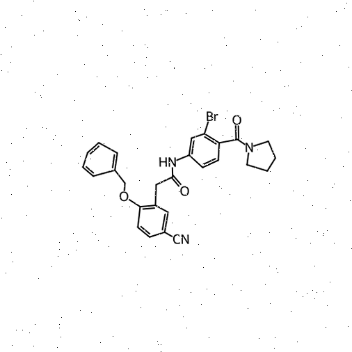 N#Cc1ccc(OCc2ccccc2)c(CC(=O)Nc2ccc(C(=O)N3CCCC3)c(Br)c2)c1